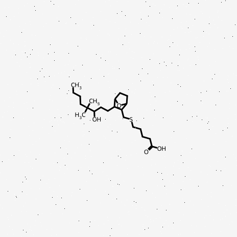 CCCCC(C)(C)C(O)CCC1C2CCC(O2)C1CSCCCCC(=O)O